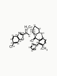 Cc1ccc(F)c(C(=O)N2CCC[C@@H](C)[C@H]2CNc2nc3ccc(Cl)cc3o2)c1-n1nccn1